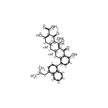 CN(C)Cc1ccc(-c2ccc(O)c3c2C[C@H]2C[C@H]4CC(O)=C(C(N)=O)C(=O)[C@@]4(O)C(O)=C2C3=O)c2ccccc12